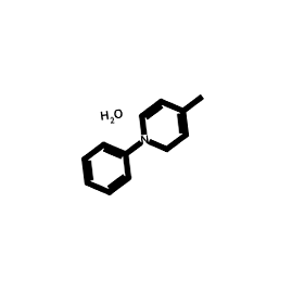 CC1=CCN(c2ccccc2)C=C1.O